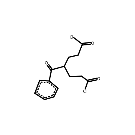 O=C(Cl)CCC(CCC(=O)Cl)C(=O)c1ccccc1